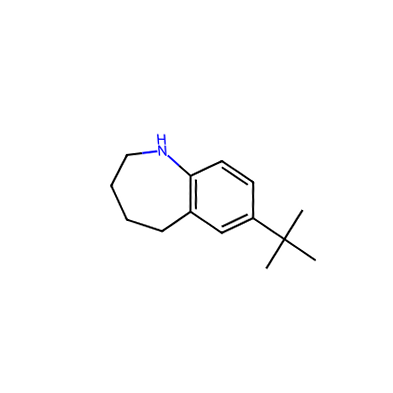 CC(C)(C)c1ccc2c(c1)CCCCN2